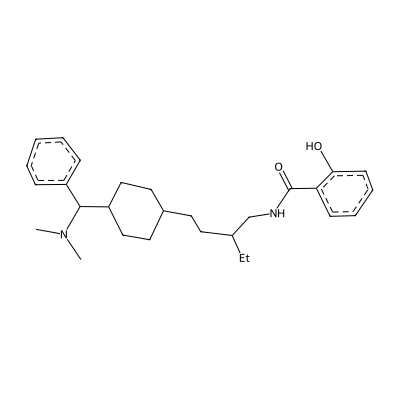 CCC(CCC1CCC(C(c2ccccc2)N(C)C)CC1)CNC(=O)c1ccccc1O